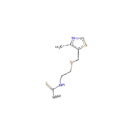 CNC(=S)NCCSCc1scnc1C